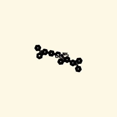 C=C(/C=C\N=C(/N)n1c2ccccc2c2cc(-c3ccc4c(c3)c3ccccc3n4-c3ccccc3)ccc21)c1ccc(-c2ccc3c(c2)c2c(n3-c3ccccc3)CCC=C2)cc1